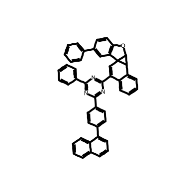 C1=C(c2nc(-c3ccccc3)nc(-c3ccc(-c4cccc5ccccc45)cc3)n2)c2ccccc2C2C3Oc4ccc(-c5ccccc5)cc4C132